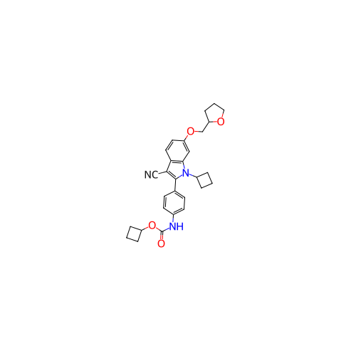 N#Cc1c(-c2ccc(NC(=O)OC3CCC3)cc2)n(C2CCC2)c2cc(OCC3CCCO3)ccc12